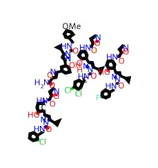 COc1ccc(CNC(=O)n2nc(-c3cc(-c4cc(C(N)=O)on4)ccc3O)cc2C2CC2)cc1.O=C(Nc1ccc(O)c(-c2cc(C3CC3)n(C(=O)NCc3ccc(Cl)c(Cl)c3)n2)c1)c1ccno1.O=C(Nc1ccc(O)c(-c2cc(C3CC3)n(C(=O)NCc3ccc(F)cc3)n2)c1)c1ccno1.O=C(Nc1ccc(O)c(-c2cc(C3CC3)n(C(=O)NCc3ccccc3Cl)n2)c1)c1ccno1